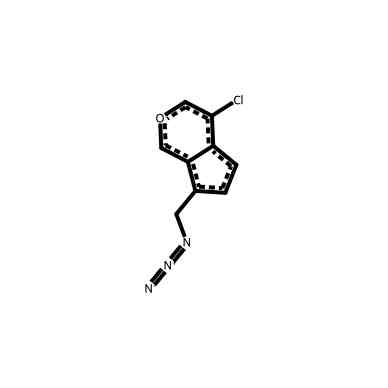 [N-]=[N+]=NCc1ccc2c(Cl)cocc1-2